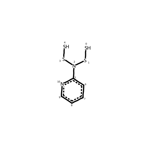 SSN(SS)c1ccccn1